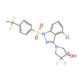 CC(F)(F)c1ccc(S(=O)(=O)n2nc(N3C[C@@H](O)C(F)(F)C3)c3c(Cl)cccc32)cc1